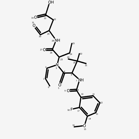 C/C=C\N(C(=O)C(NC(=O)c1cccc(OC)c1F)C(C)(C)C)C(CC)C(=O)NC(C=O)CC(=O)O